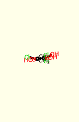 CC(C)(c1ccc(OCC(O)CCl)cc1)c1cc(Cl)c(OCC(O)CO)c(Cl)c1